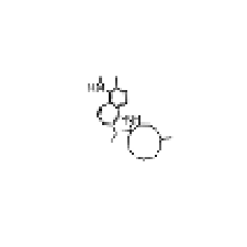 CCC1=C(NC2(C)CCCCCCC(C)CCC2)c2ccc(C)c(NC)c2C=CC1